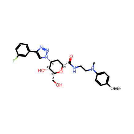 COc1ccc(N(C)CCNC(=O)[C@H]2C[C@@H](n3cc(-c4cccc(F)c4)nn3)[C@@H](O)[C@@H](CO)O2)cc1